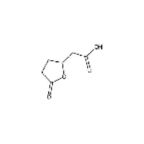 O=C(O)CC1CCC(=O)O1